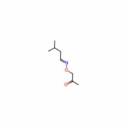 CC(=O)CON=CCC(C)C